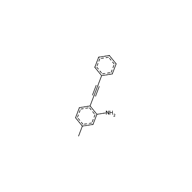 Cc1ccc(C#Cc2ccccc2)c(N)c1